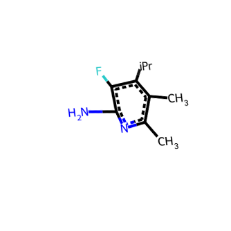 Cc1nc(N)c(F)c(C(C)C)c1C